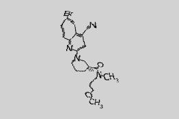 COCCN(C)C(=O)[C@H]1CCCN(c2cc(C#N)c3cc(Br)ccc3n2)C1